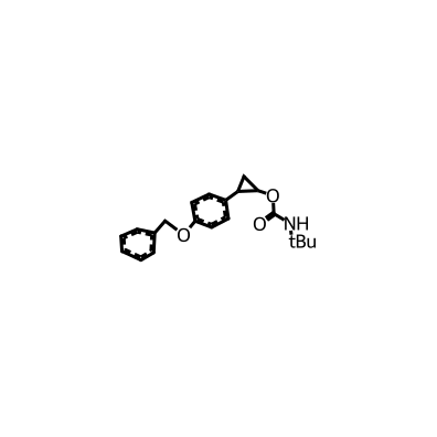 CC(C)(C)NC(=O)OC1CC1c1ccc(OCc2ccccc2)cc1